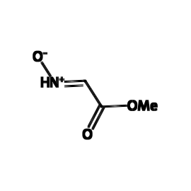 COC(=O)C=[NH+][O-]